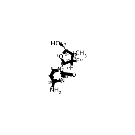 C[C@H]1[C@@H](CO)O[C@@H](n2ccc(N)nc2=O)C1(F)F